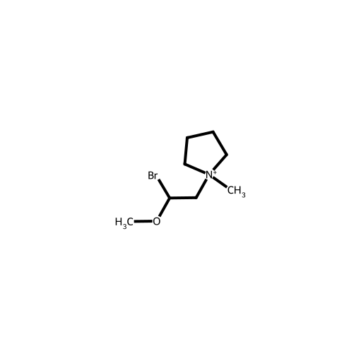 COC(Br)C[N+]1(C)CCCC1